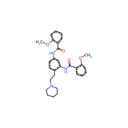 COc1ccccc1C(=O)Nc1ccc(CCN2CCCCC2)c(NC(=O)c2ccccc2OC)c1